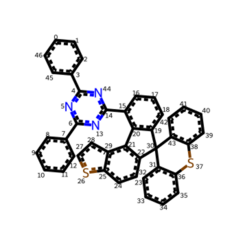 c1ccc(-c2nc(-c3ccccc3)nc(-c3cccc4c3-c3c(ccc5sccc35)C43c4ccccc4Sc4ccccc43)n2)cc1